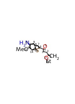 C=C(CCC(=O)c1cc2cc(N)c(OC)cc2s1)OCC